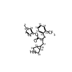 Cn1cnc(OC(=O)N(Cc2ccccc2C(F)(F)F)CC2C3CNCC32)c1